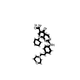 NC(=O)c1cn(C2CCCCC2)c2nc(Nc3ccc(CCN4CCOCC4)cc3)ncc2c1=O